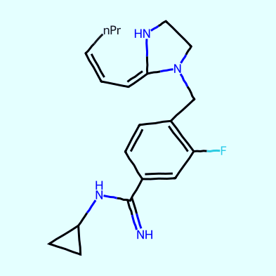 CCC/C=C\C=C1/NCCN1Cc1ccc(C(=N)NC2CC2)cc1F